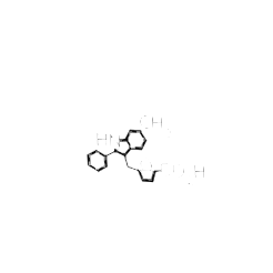 Cc1ccc2c(Cc3ccc(C(=O)O)o3)c(-c3ccccc3)[nH]c2c1